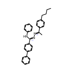 CCCCc1ccc(/C(C)=N/N=C(\Nc2ccccc2)c2ccc(-c3ccccc3)cc2)cc1